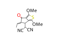 C/C=C1/C(=O)c2c(OC)sc(OC)c2C1C(C#N)C#N